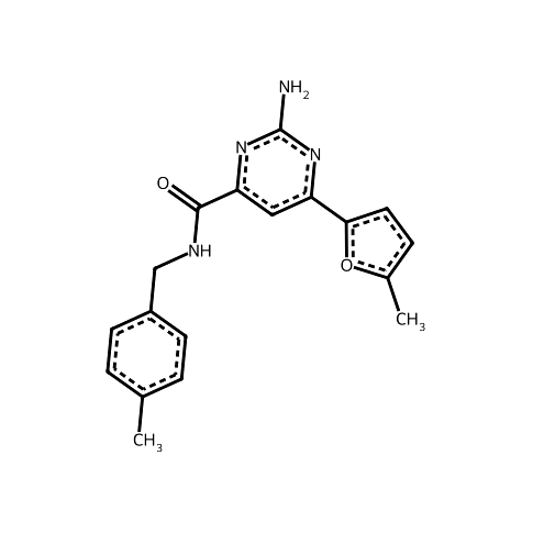 Cc1ccc(CNC(=O)c2cc(-c3ccc(C)o3)nc(N)n2)cc1